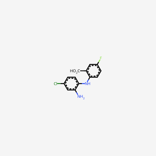 Nc1cc(Cl)ccc1Nc1ccc(F)cc1C(=O)O